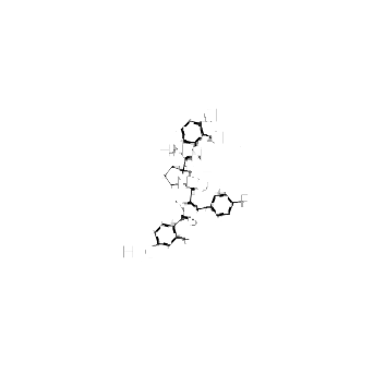 Cc1ccc(-c2nc(C(=O)N3CCCC3(C)c3nc4c(C)c(Cl)ccc4[nH]3)c(-c3ccc(F)cc3)s2)c(F)c1